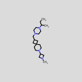 CCC(C)N1CCN(CC2CC3(CCN(C4CN(C)C4)CC3)C2)CC1